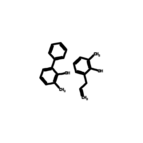 C=CCc1cccc(C)c1O.Cc1cccc(-c2ccccc2)c1O